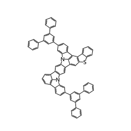 c1ccc(-c2cc(-c3ccccc3)cc(-c3ccc4c5cccc6c7cc8c(cc7n(c4c3)c56)c3cc4sc5ccccc5c4c4c5ccc(-c6cc(-c7ccccc7)cc(-c7ccccc7)c6)cc5n8c34)c2)cc1